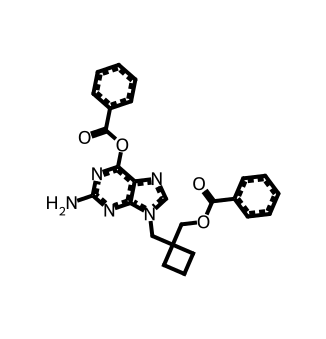 Nc1nc(OC(=O)c2ccccc2)c2ncn(CC3(COC(=O)c4ccccc4)CCC3)c2n1